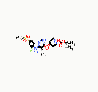 Cc1c(Nc2ccc(S(C)(=O)=O)cc2F)ncnc1OC1CCN(OC(=O)OC(C)C)CC1